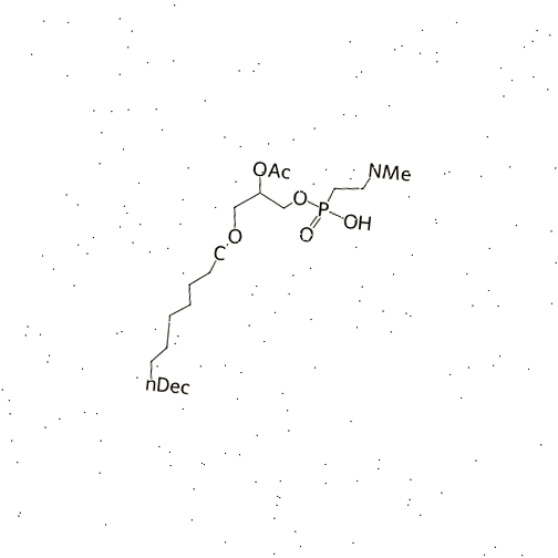 CCCCCCCCCCCCCCCCCOCC(COP(=O)(O)CCNC)OC(C)=O